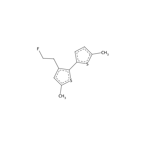 Cc1ccc(-c2sc(C)cc2CCF)s1